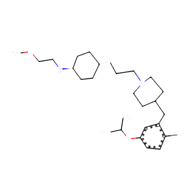 COCCN[C@H]1CC[C@H](CCCN2CCC(Cc3cc(OC(C)C)ccc3Br)CC2)CC1